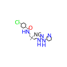 CC(C)(C=CNC(=NC#N)Nc1cccnc1)CCNC(=O)c1ccc(Cl)cc1